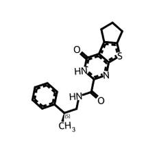 C[C@H](CNC(=O)c1nc2sc3c(c2c(=O)[nH]1)CCC3)c1ccccc1